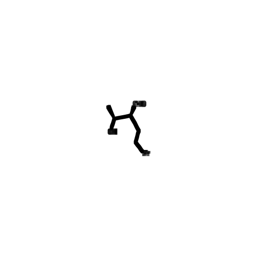 CC(C)CC[C@H](C=O)[C@H](C)O